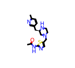 CC(=O)Nc1ncc(CN2CCN[C@H](Cc3ccc(C)nc3)C2)s1